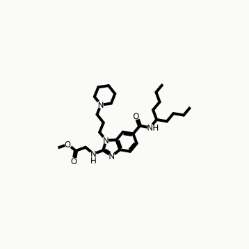 CCCCC(CCCC)NC(=O)c1ccc2nc(NCC(=O)OC)n(CCCN3CCCCC3)c2c1